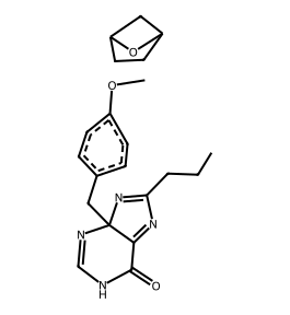 C1CC2CC1O2.CCCC1=NC2(Cc3ccc(OC)cc3)N=CNC(=O)C2=N1